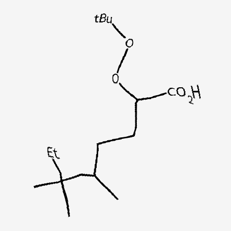 CCC(C)(C)C(C)CCC(OOC(C)(C)C)C(=O)O